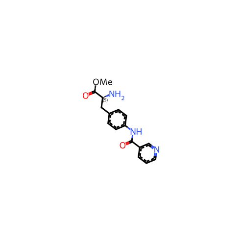 COC(=O)[C@@H](N)Cc1ccc(NC(=O)c2cccnc2)cc1